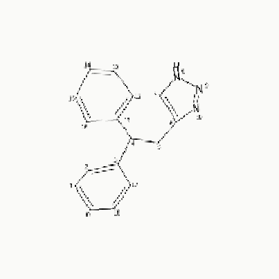 c1ccc(C(Cc2c[nH]nn2)c2ccccc2)cc1